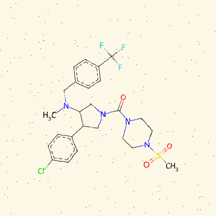 CN(Cc1ccc(C(F)(F)F)cc1)C1CN(C(=O)N2CCN(S(C)(=O)=O)CC2)CC1c1ccc(Cl)cc1